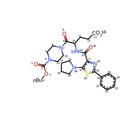 CCCCOC(=O)N1CCN(C(=O)C(CCC(=O)O)NC(=O)c2nc(-c3ccccc3)sc2N2CCCC2)CC1